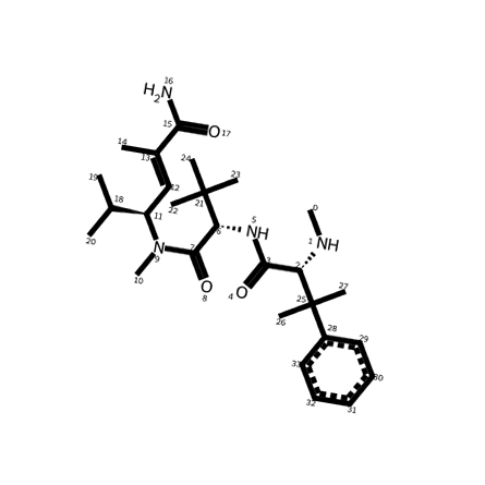 CN[C@@H](C(=O)N[C@H](C(=O)N(C)[C@H](/C=C(\C)C(N)=O)C(C)C)C(C)(C)C)C(C)(C)c1ccccc1